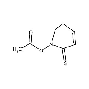 CC(=O)ON1CCC=CC1=S